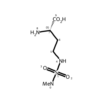 CNS(=O)(=O)NCC[C@H](N)C(=O)O